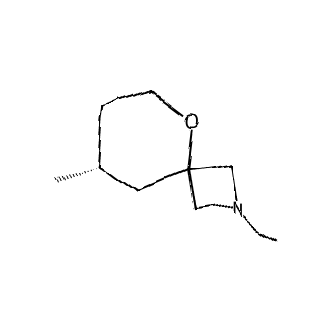 C[C@@H]1CCOC2(C1)CN(C)C2